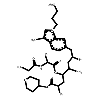 COCCCn1cc(C)c2ccc(CC(CC(N)C(CC(C(=O)NC3CCOCC3)C(C)C)OC(=O)C(NC(=O)CN)C(C)C)C(C)C)cc21